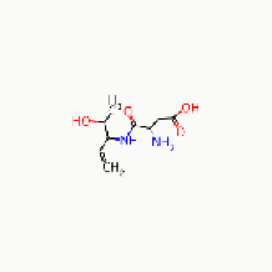 C=C[C@H](NC(=O)[C@@H](N)CC(=O)O)C(C)O